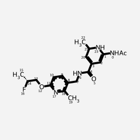 CC(=O)NC1=CC(C(=O)NCc2ccc(OC[C@@H](C)F)nc2C)=CC(C)N1